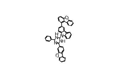 c1ccc(C2N=C(c3ccc4c(c3)oc3ccccc34)NC(n3c4ccccc4c4cc(-c5cccc6oc7ccccc7c56)ccc43)N2)cc1